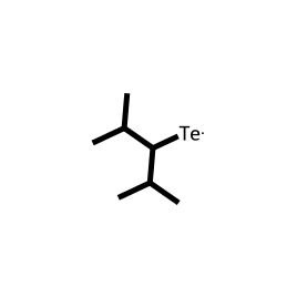 CC(C)C([Te])C(C)C